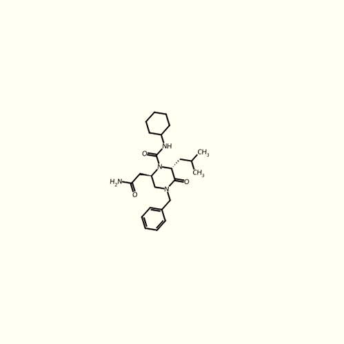 CC(C)C[C@@H]1C(=O)N(Cc2ccccc2)C[C@@H](CC(N)=O)N1C(=O)NC1CCCCC1